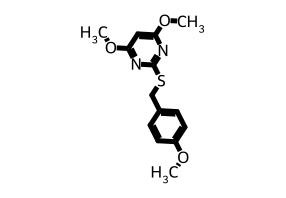 COc1ccc(CSc2nc(OC)cc(OC)n2)cc1